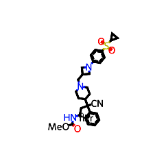 CCC[C@@H](CC(C#N)(c1ccccc1)C1CCN(CC2CN(c3ccc(S(=O)(=O)C4CC4)cc3)C2)CC1)NC(=O)OC